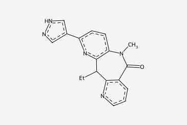 CCC1c2ncccc2C(=O)N(C)c2ccc(-c3cn[nH]c3)nc21